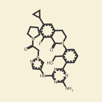 Nc1nc(Nc2cnn(CC(=O)N3CCCC3)c2)nc(-c2cccc(N3CCc4cc(C5CC5)cc(F)c4C3=O)c2CO)n1